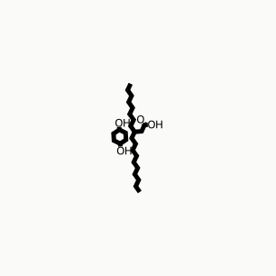 CCCCCCCCCCC(CCCCCCCC)CC(=O)O.OC1CCC(O)CC1